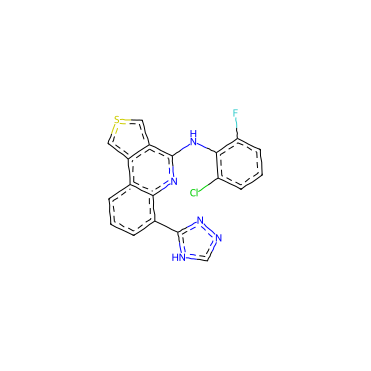 Fc1cccc(Cl)c1Nc1nc2c(-c3nnc[nH]3)cccc2c2cscc12